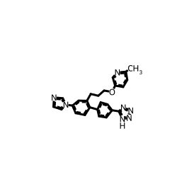 Cc1ccc(OCCCc2cc(-n3ccnc3)ccc2-c2ccc(-c3nnn[nH]3)cc2)cn1